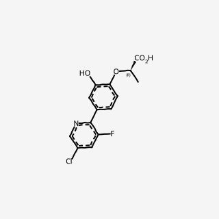 C[C@@H](Oc1ccc(-c2ncc(Cl)cc2F)cc1O)C(=O)O